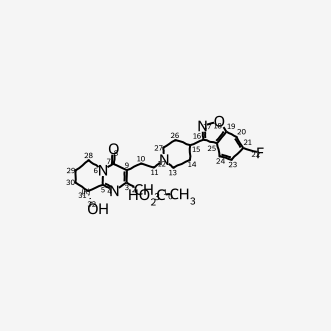 CC(=O)O.Cc1nc2n(c(=O)c1CCN1CCC(c3noc4cc(F)ccc34)CC1)CCC[C@H]2O